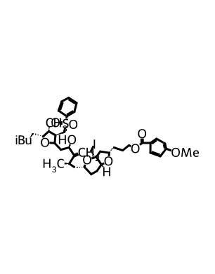 C=C([C@H](C)C[C@H]1CC[C@@H]2O[C@@H](CCCOC(=O)c3ccc(OC)cc3)C[C@]2(CI)O1)[C@H](O)CC1O[C@H](C[C@H](C)CC)[C@H](C)[C@H]1CS(=O)(=O)c1ccccc1